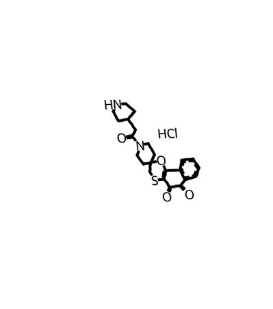 Cl.O=C1C(=O)c2ccccc2C2=C1SCC1(CCN(C(=O)CC3CCNCC3)CC1)O2